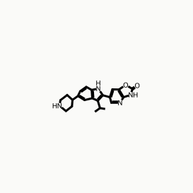 CC(C)c1c(-c2cnc3[nH]c(=O)oc3c2)[nH]c2ccc(C3CCNCC3)cc12